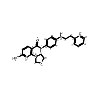 Cc1ccc(C(=O)Nc2ccc(NCCc3ccccn3)cc2)c(N2CCSC2)n1